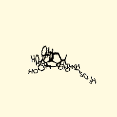 CC(CCC(=O)NCCS(=O)(=O)O)C1CC[C@@H]2[C@@H]1[C@@H](O)C[C@H]1[C@H]2[C@H](O)[C@H](O)[C@@H]2C[C@H](O)CC[C@@]21C